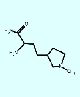 CN1CCC(CCC(N)C(N)=O)C1